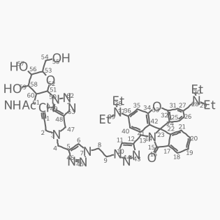 C#CCN(Cc1cn(CCn2cc(CN3C(=O)c4ccccc4C34c3ccc(N(CC)CC)cc3Oc3cc(N(CC)CC)ccc34)nn2)nn1)Cc1cn(C2OC(CO)C(O)C(O)C2NC(C)=O)nn1